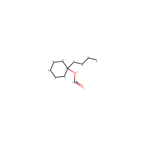 CCCCC1(O[C]=O)CCCCC1